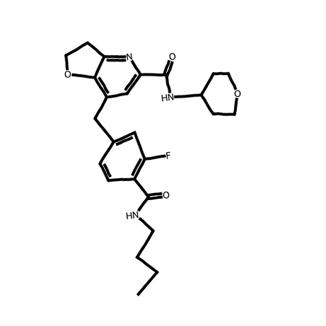 CCCCNC(=O)c1ccc(Cc2cc(C(=O)NC3CCOCC3)nc3c2OCC3)cc1F